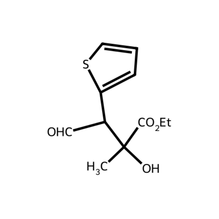 CCOC(=O)C(C)(O)C(C=O)c1cccs1